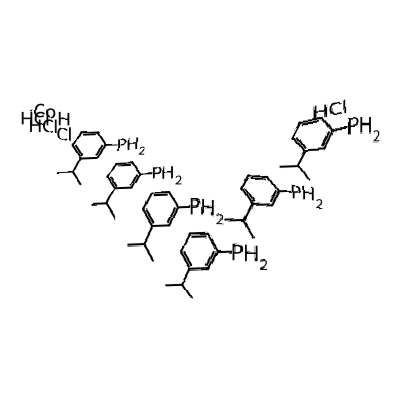 CC(C)c1cccc(P)c1.CC(C)c1cccc(P)c1.CC(C)c1cccc(P)c1.CC(C)c1cccc(P)c1.CC(C)c1cccc(P)c1.CC(C)c1cccc(P)c1.Cl.Cl.Cl.Cl.[Co]